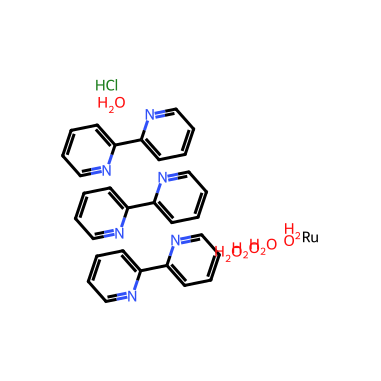 Cl.O.O.O.O.O.[Ru].c1ccc(-c2ccccn2)nc1.c1ccc(-c2ccccn2)nc1.c1ccc(-c2ccccn2)nc1